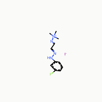 C[N+](C)(C)/N=C/C=N/Nc1cccc(F)c1.[I-]